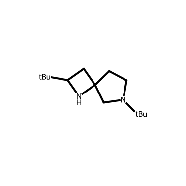 CC(C)(C)C1CC2(CCN(C(C)(C)C)C2)N1